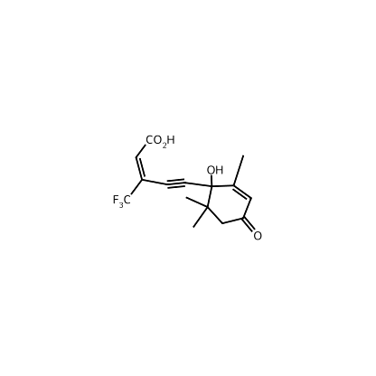 CC1=CC(=O)CC(C)(C)C1(O)C#C/C(=C\C(=O)O)C(F)(F)F